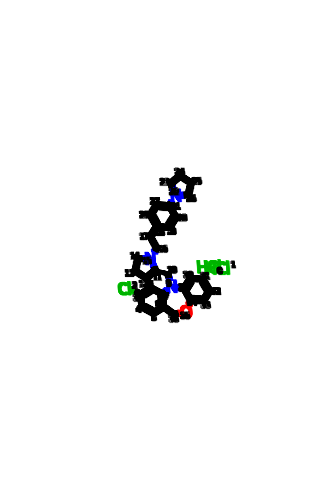 Cl.Cl.Clc1ccc2c(c1)N(C[C@H]1CCCN1CCc1ccc(N3CCCC3)cc1)c1ccccc1OC2